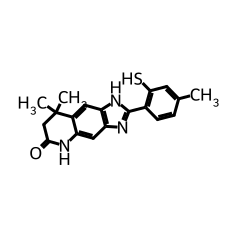 Cc1ccc(-c2nc3cc4c(cc3[nH]2)C(C)(C)CC(=O)N4)c(S)c1